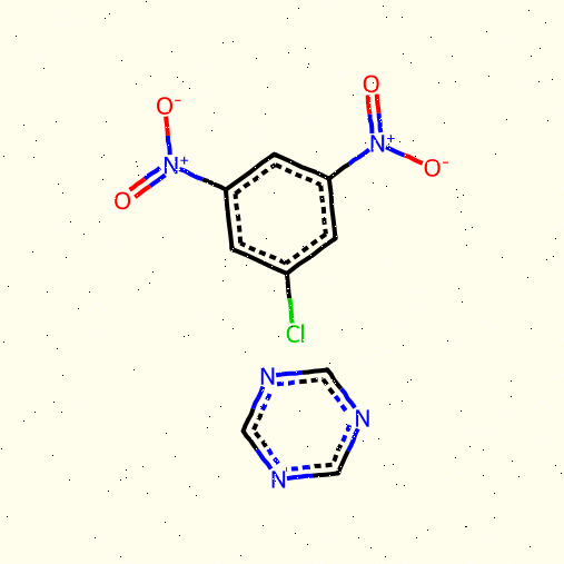 O=[N+]([O-])c1cc(Cl)cc([N+](=O)[O-])c1.c1ncncn1